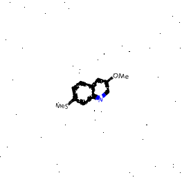 COc1cnc2cc(SC)ccc2c1